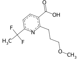 COCCCc1nc(C(C)(F)F)ccc1C(=O)O